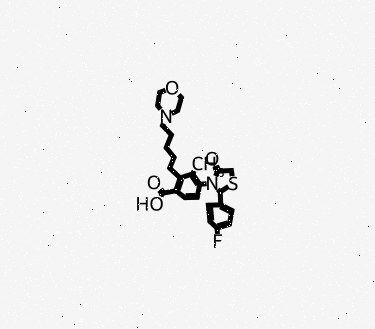 Cc1c(N2C(=O)CSC2c2ccc(F)cc2)ccc(C(=O)O)c1CCCCCN1CCOCC1